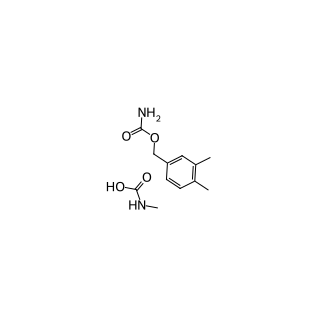 CNC(=O)O.Cc1ccc(COC(N)=O)cc1C